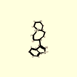 c1ccc2c(C3CCC4CCCCN4CC3)csc2c1